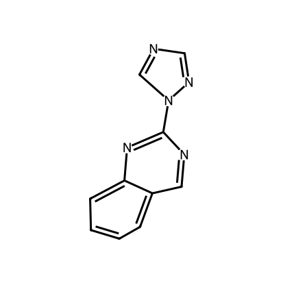 c1ccc2nc(-n3cncn3)ncc2c1